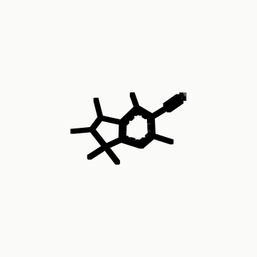 Cc1cc2c(c(C)c1C#N)C(C)C(C)C2(C)C